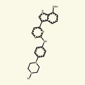 COc1cccc2c(-c3ccnc(Nc4ccc(N5CCN(C(C)=O)CC5)cc4)n3)c[nH]c12